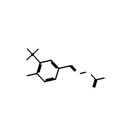 Cl.N=C(N)NN=Cc1ccc(Cl)c(C(F)(F)F)c1